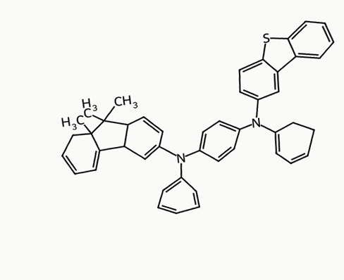 CC12CC=CC=C1C1C=C(N(c3ccccc3)c3ccc(N(C4=CC=CCC4)c4ccc5sc6ccccc6c5c4)cc3)C=CC1C2(C)C